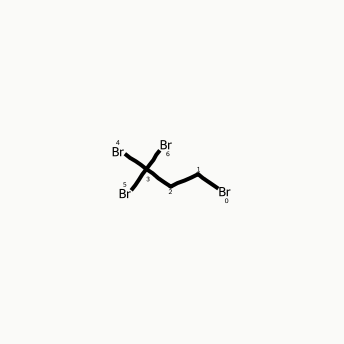 BrCCC(Br)(Br)Br